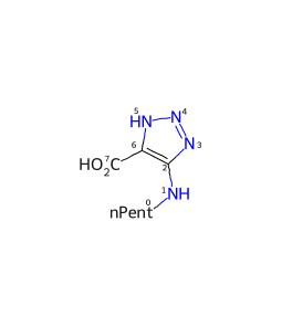 CCCCCNc1nn[nH]c1C(=O)O